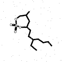 CCCCC(CC)CCC1CC(C)COS(=O)(=O)O1